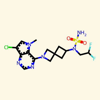 Cn1cc(Cl)c2ncnc(N3CC4(CC(N(CC(F)F)S(N)(=O)=O)C4)C3)c21